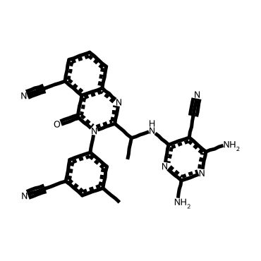 Cc1cc(C#N)cc(-n2c(C(C)Nc3nc(N)nc(N)c3C#N)nc3cccc(C#N)c3c2=O)c1